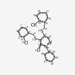 O=c1c(SCc2ccccc2Cl)c(SCc2ccccc2Cl)cnn1-c1ccccc1